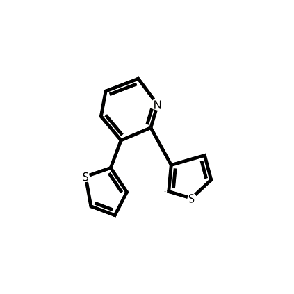 [c]1sccc1-c1ncccc1-c1cccs1